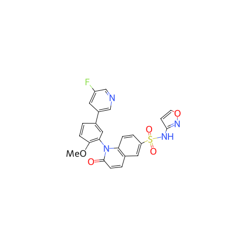 COc1ccc(-c2cncc(F)c2)cc1-n1c(=O)ccc2cc(S(=O)(=O)Nc3ccon3)ccc21